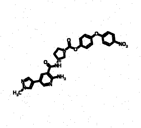 Cn1cc(-c2cnc(N)c(C(=O)N[C@@H]3CCN(C(=O)Oc4ccc(Oc5ccc([N+](=O)[O-])cc5)cc4)C3)c2)cn1